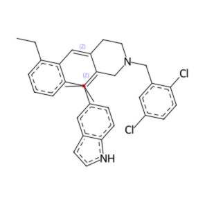 CCc1cccc(CC)c1/C=C1/CCN(Cc2cc(Cl)ccc2Cl)C/C1=C(/C)c1ccc2[nH]ccc2c1